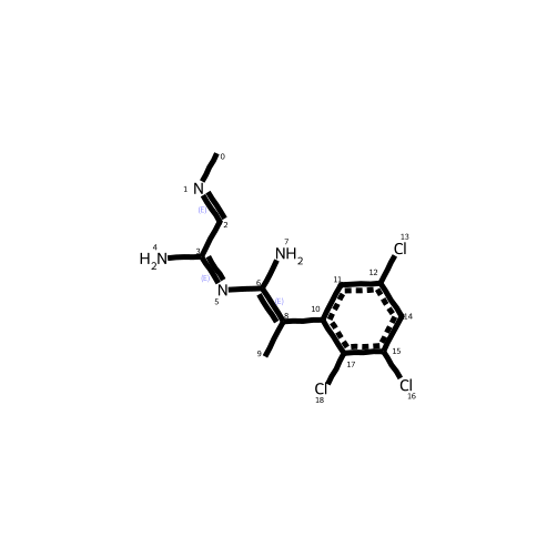 C/N=C/C(N)=N\C(N)=C(/C)c1cc(Cl)cc(Cl)c1Cl